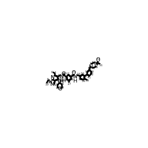 CCc1nc2c(cnn2CC)c(NC2CCOCC2)c1CNC(=O)c1cc(C)cc(C(=O)NCc2ccc(C)c(-c3cccc(CN4CCN(C(C)=O)CC4)c3)c2)c1